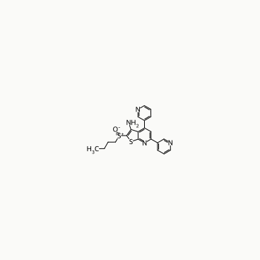 CCCC[S@+]([O-])c1sc2nc(-c3cccnc3)cc(-c3cccnc3)c2c1N